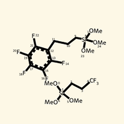 CO[Si](CCC(F)(F)F)(OC)OC.CO[Si](CCCc1c(F)c(F)c(F)c(F)c1F)(OC)OC